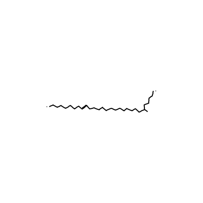 [CH2]CCCCCCCC=CCCCCCCCCCCCCCC(C)CCCC[CH2]